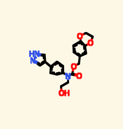 O=C(OCc1ccc2c(c1)OCCO2)N(CCO)c1ccc(-c2cn[nH]c2)cc1